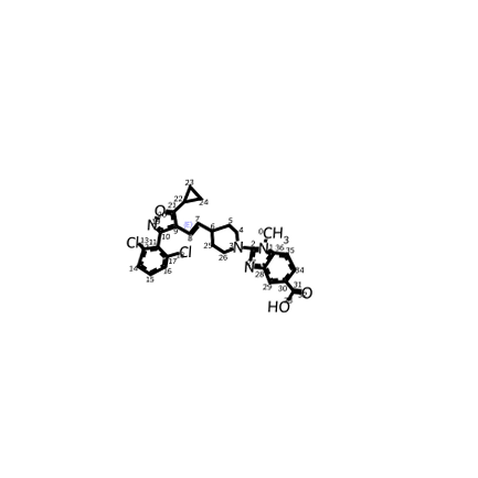 Cn1c(N2CCC(/C=C/c3c(-c4c(Cl)cccc4Cl)noc3C3CC3)CC2)nc2cc(C(=O)O)ccc21